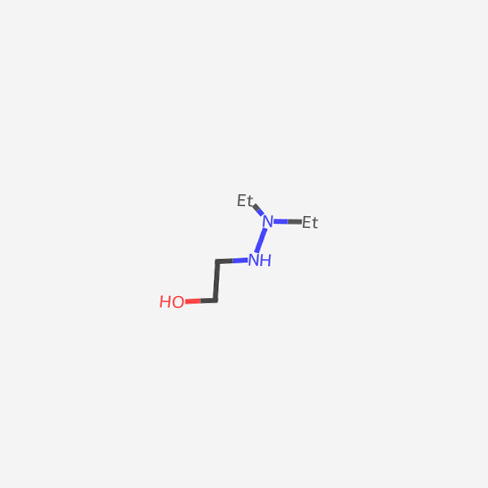 CCN(CC)NCCO